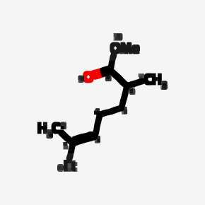 CC/C(C)=C/CCC(C)C(=O)OC